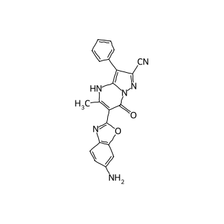 Cc1[nH]c2c(-c3ccccc3)c(C#N)nn2c(=O)c1-c1nc2ccc(N)cc2o1